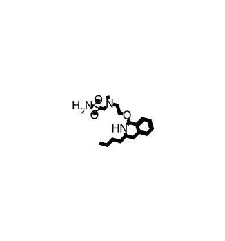 CCCCC1Cc2ccccc2C(OCCN(C)CS(N)(=O)=O)N1